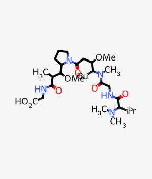 CCC(C)C(C(CC(=O)N1CCCC1C(OC)C(C)C(=O)NCC(=O)O)OC)N(C)C(=O)CNC(=O)C(C(C)C)N(C)C